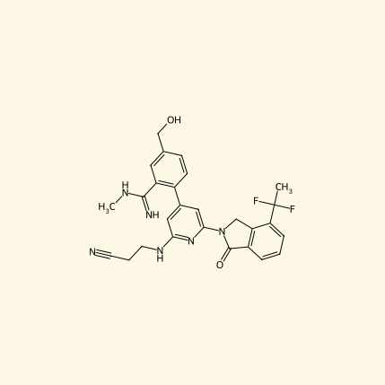 CNC(=N)c1cc(CO)ccc1-c1cc(NCCC#N)nc(N2Cc3c(cccc3C(C)(F)F)C2=O)c1